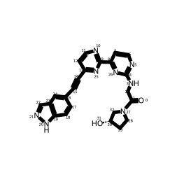 O=C(CNc1nccc(-c2nccc(C#Cc3ccc4[nH]ncc4c3)n2)n1)N1CC[C@H](O)C1